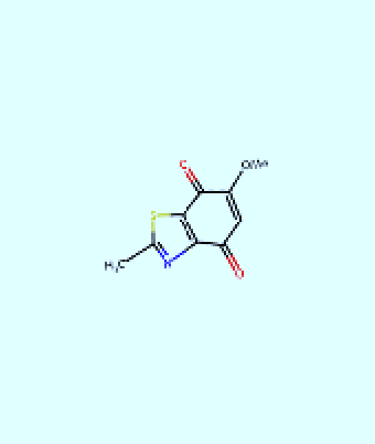 COC1=CC(=O)c2nc(C)sc2C1=O